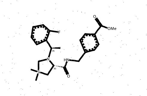 COC(=O)c1ccc(CNC(=O)[C@@H]2C[Si](C)(C)CN2[C@H](C)c2ccccc2F)cc1